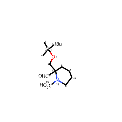 CC(C)(C)[Si](C)(C)OCC1(C=O)CCCCN1C(=O)O